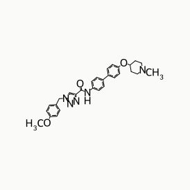 COc1ccc(Cn2cc(C(=O)Nc3ccc(-c4ccc(OC5CCN(C)CC5)cc4)cc3)nn2)cc1